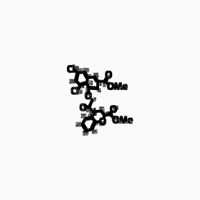 COC(=O)c1cc(OCC(=O)N2CC(C(=O)OC)Oc3ccccc32)c2c(Cl)cc(Cl)cc2c1